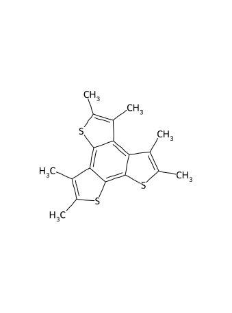 Cc1sc2c3sc(C)c(C)c3c3c(C)c(C)sc3c2c1C